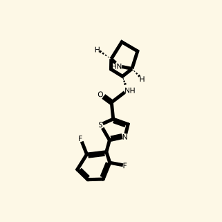 O=C(N[C@@H]1C[C@H]2CC[C@@H]1N2)c1cnc(-c2c(F)cccc2F)s1